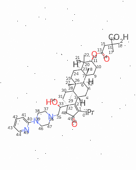 CC(C)C1=C2[C@H]3CC[C@@H]4[C@@]5(C)CC[C@H](OC(=O)CC(C)(C)C(=O)O)C(C)(C)[C@@H]5CC[C@@]4(C)[C@]3(C)CC[C@@]2([C@H](O)CN2CCN(c3ccccn3)CC2)CC1=O